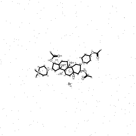 CC(=O)OC1CCN([C@H]2C[C@@]3(C)[C@@H](CC[C@@H]4[C@@H]3CC[C@@]3(C)[C@H]4C[C@H](N4CC[N+](C)(C)CC4)[C@@H]3OC(C)=O)C[C@@H]2OC(C)=O)CC1.[Br-]